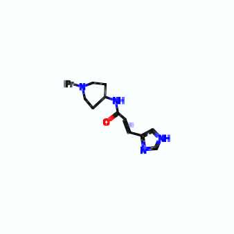 CC(C)N1CCC(NC(=O)/C=C/c2c[nH]cn2)CC1